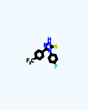 Fc1ccc(-n2c(-c3ccc(C(F)(F)F)cc3)n[nH]c2=S)cc1